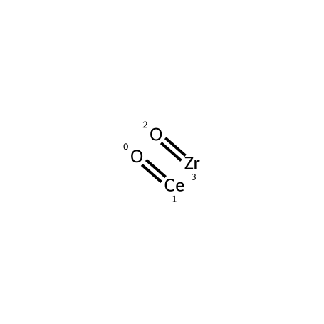 [O]=[Ce].[O]=[Zr]